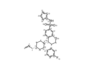 C=NC[C@@H]1CCN([C@H]2CCOc3cc(S(=O)(=O)Nc4ncns4)ccc32)[C@H](c2ccc(F)cc2)C1